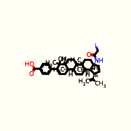 C=C(C)[C@@H]1CC[C@]2(NC(=O)CI)CC[C@]3(C)[C@H](CC[C@@H]4[C@@]5(C)CC=C(c6ccc(C(=O)O)cc6)C(C)(C)[C@@H]5CC[C@]43C)[C@@H]12